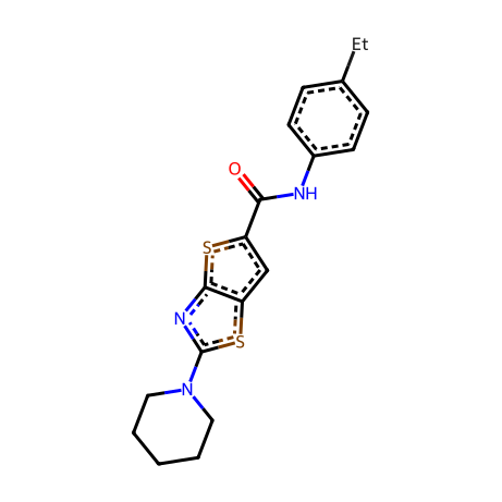 CCc1ccc(NC(=O)c2cc3sc(N4CCCCC4)nc3s2)cc1